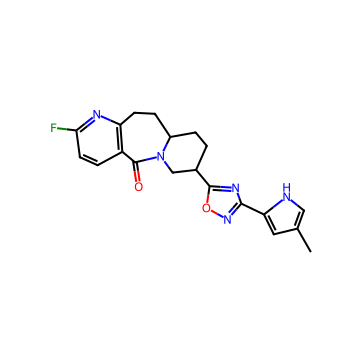 Cc1c[nH]c(-c2noc(C3CCC4CCc5nc(F)ccc5C(=O)N4C3)n2)c1